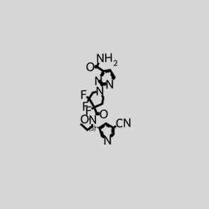 N#Cc1cncc([C@@H]2CCON2C(=O)C2(F)CCN(c3nccc(C(N)=O)n3)CC2(F)F)c1